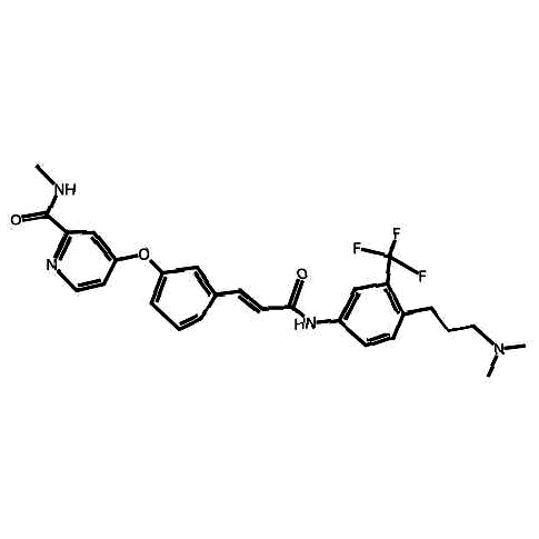 CNC(=O)c1cc(Oc2cccc(/C=C/C(=O)Nc3ccc(CCCN(C)C)c(C(F)(F)F)c3)c2)ccn1